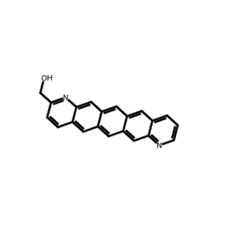 OCc1ccc2cc3cc4cc5ncccc5cc4cc3cc2n1